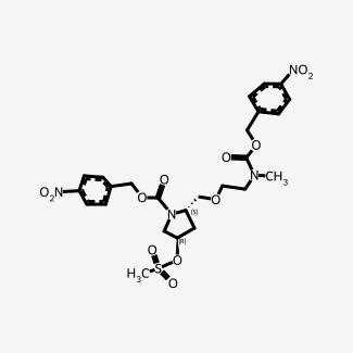 CN(CCOC[C@@H]1C[C@@H](OS(C)(=O)=O)CN1C(=O)OCc1ccc([N+](=O)[O-])cc1)C(=O)OCc1ccc([N+](=O)[O-])cc1